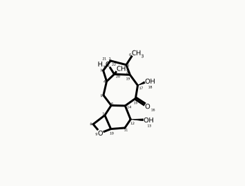 CC1CCC2CC3C4COC4C[C@H](O)C3C(=O)[C@H](O)C1C2(C)C